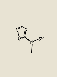 CN(S)c1ccco1